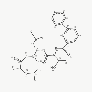 CC(C)C[C@H](NC(=O)C(NC(=O)c1cccc(-c2ccccc2)n1)[C@@H](C)O)B1OC[C@@H](C)N[C@H](C)C(=O)O1